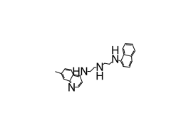 Cc1ccc2c(NCCNCCNc3cccc4ccccc34)ccnc2c1